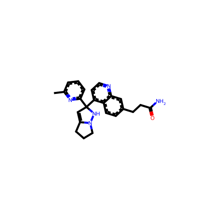 Cc1cccc(C2(c3ccnc4cc(CCC(N)=O)ccc34)C=C3CCCN3N2)n1